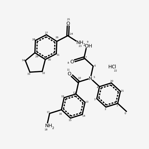 Cc1ccc(N(CC(=O)O)C(=O)c2cccc(CN)c2)cc1.Cl.NC(=O)c1ccc2c(c1)CCC2